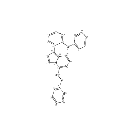 c1ccc(Oc2ccccc2-c2cnn3c(NCc4ccccn4)ccnc23)cc1